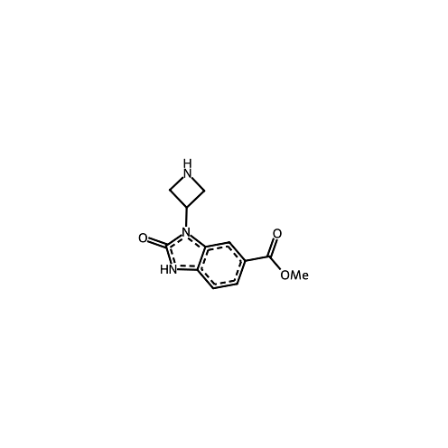 COC(=O)c1ccc2[nH]c(=O)n(C3CNC3)c2c1